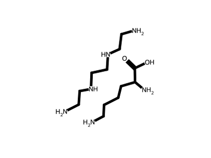 NCCCCC(N)C(=O)O.NCCNCCNCCN